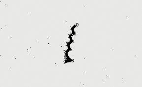 CC[CH]CCCCCC1CC1